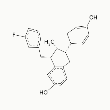 C[C@H]1[C@@H](Cc2cccc(F)c2)c2cc(O)ccc2C[C@H]1C1C=CC(O)=CC1